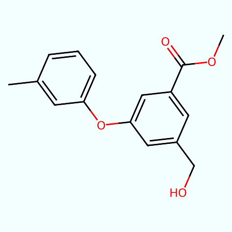 COC(=O)c1cc(CO)cc(Oc2cccc(C)c2)c1